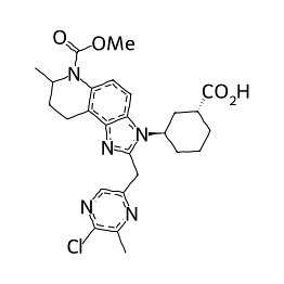 COC(=O)N1c2ccc3c(nc(Cc4cnc(Cl)c(C)n4)n3[C@@H]3CCC[C@@H](C(=O)O)C3)c2CCC1C